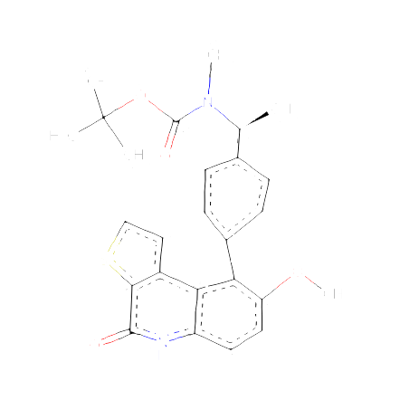 COc1ccc2[nH]c(=O)c3sccc3c2c1-c1ccc([C@H](C)N(C)C(=O)OC(C)(C)C)cc1